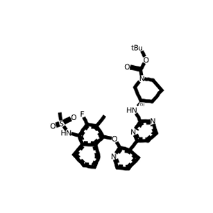 Cc1c(F)c(NS(C)(=O)=O)c2ccccc2c1Oc1ncccc1-c1ccnc(N[C@H]2CCCN(C(=O)OC(C)(C)C)C2)n1